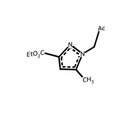 CCOC(=O)c1cc(C)n(CC(C)=O)n1